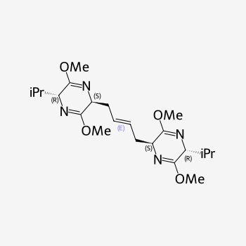 COC1=N[C@H](C(C)C)C(OC)=N[C@H]1C/C=C/C[C@@H]1N=C(OC)[C@@H](C(C)C)N=C1OC